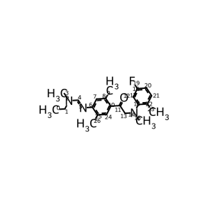 CCN(C)/C=N/c1cc(C)c(C(=O)CN(C)c2cc(F)ccc2C)cc1C